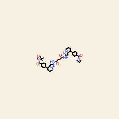 CC1(C)COCN1C(=O)c1ccc(-c2cccn3nc(NC(=O)CCC(=O)Nc4cc5c(-c6ccc(C(=O)N7CCC7)cc6)cccn5n4)cc23)cc1